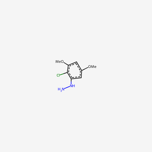 COc1cc(NN)c(Cl)c(OC)c1